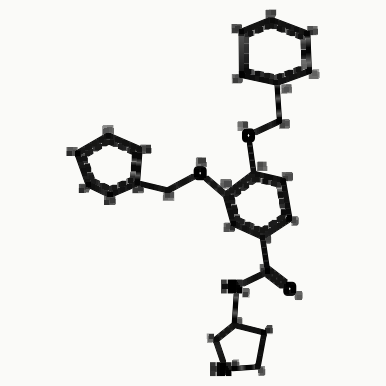 O=C(NC1CCNC1)c1ccc(OCc2ccccc2)c(OCc2ccccc2)c1